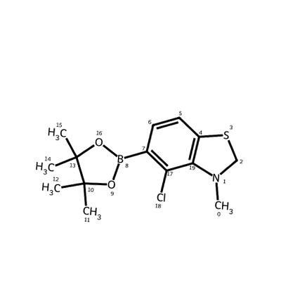 CN1CSc2ccc(B3OC(C)(C)C(C)(C)O3)c(Cl)c21